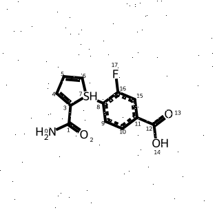 NC(=O)C1=CC=C[SH]1c1ccc(C(=O)O)cc1F